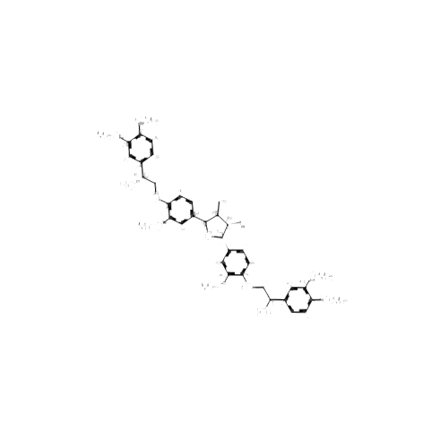 COc1ccc(C(O)COc2ccc([C@H]3OC(c4ccc(OC[C@H](O)c5ccc(OC)c(OC)c5)c(OC)c4)C(C)[C@H]3C)cc2OC)cc1OC